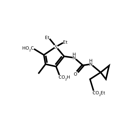 CCOC(=O)CC1(NC(=O)NC2=C(C(=O)O)C(C)=C(C(=O)O)S2(CC)CC)CC1